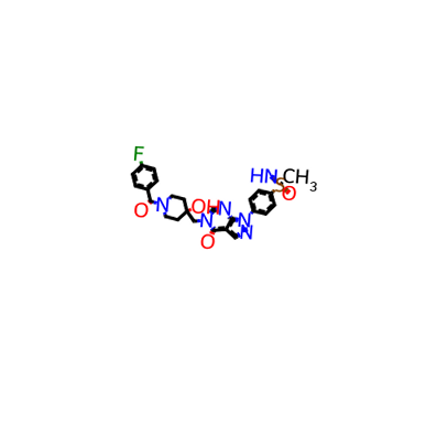 CS(=N)(=O)c1ccc(-n2ncc3c(=O)n(CC4(O)CCN(C(=O)c5ccc(F)cc5)CC4)cnc32)cc1